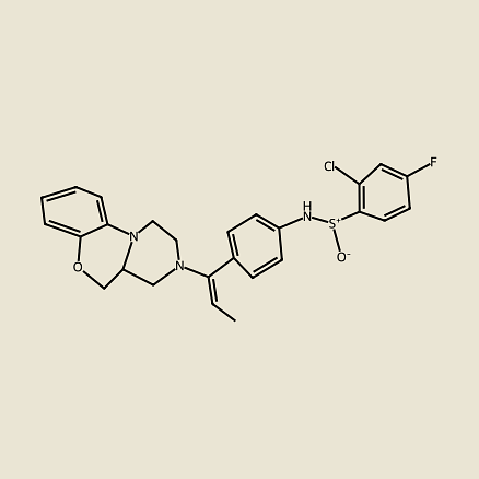 CC=C(c1ccc(N[S+]([O-])c2ccc(F)cc2Cl)cc1)N1CCN2c3ccccc3OCC2C1